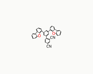 N#Cc1ccc(-c2cc(-c3cccc4c3oc3ccccc34)cc(-c3cccc4c3oc3ccccc34)c2)c(C#N)c1